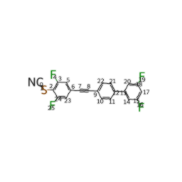 N#CSc1c(F)cc(C#Cc2ccc(-c3cc(F)cc(F)c3)cc2)cc1F